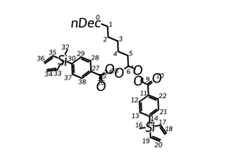 [CH2]CCCCCCCCCCCCCC[C](OOC(=O)c1ccc([Si](C)(C=C)C=C)cc1)OOC(=O)c1ccc([Si](C)(C=C)C=C)cc1